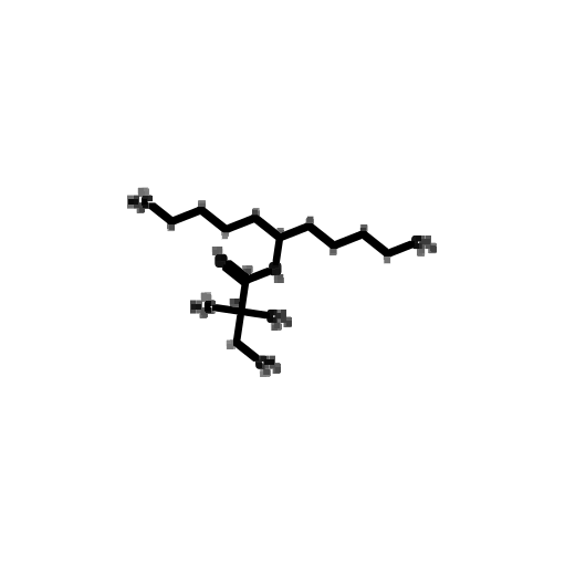 CCCCCC(CCCCC)OC(=O)C(C)(C)CC